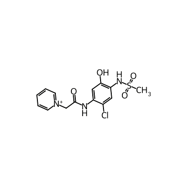 CS(=O)(=O)Nc1cc(Cl)c(NC(=O)C[n+]2ccccc2)cc1O